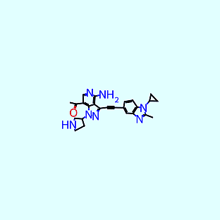 CC(=O)c1cnc(N)c2c(C#Cc3ccc4c(c3)nc(C)n4C3CC3)nn(C3CCNC3)c12